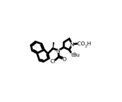 C[C@H](c1cccc2ccccc12)N(C(=O)Cl)C1CCN(C(=O)O)C1C(C)(C)C